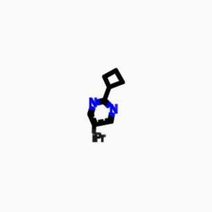 CC(C)c1cnc(C2CCC2)nc1